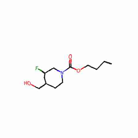 CCCCOC(=O)N1CCC(CO)C(F)C1